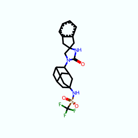 O=C1NC2(Cc3ccccc3C2)CN1C1C2CC3CC1CC(NS(=O)(=O)C(F)(F)F)(C3)C2